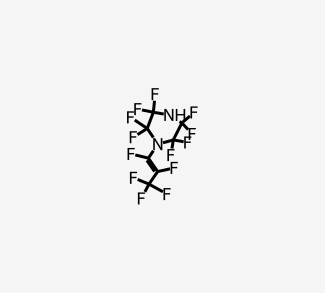 F/C(=C(/F)C(F)(F)F)N1C(F)(F)C(F)(F)NC(F)(F)C1(F)F